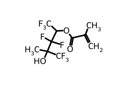 C=C(C)C(=O)OC(C(F)(F)F)C(F)(F)C(C)(O)C(F)(F)F